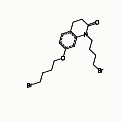 O=C1CCc2ccc(OCCCCBr)cc2N1CCCCBr